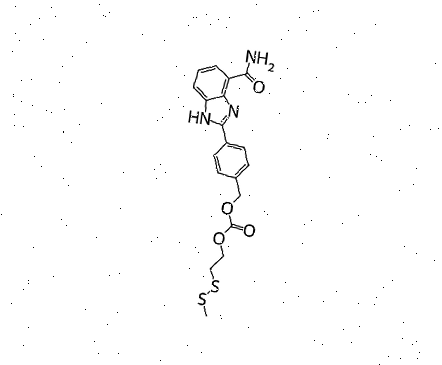 CSSCCOC(=O)OCc1ccc(-c2nc3c(C(N)=O)cccc3[nH]2)cc1